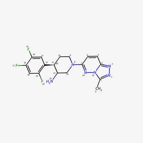 Cc1nnc2ccc(N3CC[C@H](c4cc(F)c(F)cc4F)C(N)C3)nn12